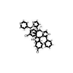 C[C@@H](c1ccc(Cl)cc1)n1cnc(-c2ccccc2)c1-c1c(C(=O)Nc2ccnn2Cc2ccncc2)[nH]c2cc(Cl)ccc12